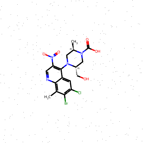 Cc1c(Br)c(Cl)cc2c(N3C[C@@H](C)N(C(=O)O)C[C@@H]3CO)c([N+](=O)[O-])cnc12